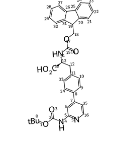 CC(C)(C)OC(=O)Nc1cc(-c2ccc(C[C@H](NC(=O)OCC3c4ccccc4-c4ccccc43)C(=O)O)cc2)ccn1